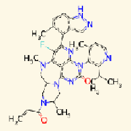 C=CC(=O)N1CC2CN(C)c3c(F)c(-c4c(C)ccc5[nH]ncc45)nc4c3c(nc(=O)n4-c3c(C)ccnc3C(C)C)N2CC1C